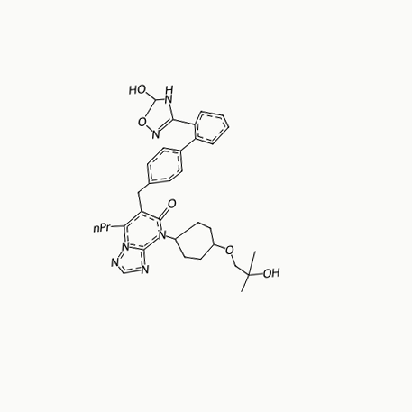 CCCc1c(Cc2ccc(-c3ccccc3C3=NOC(O)N3)cc2)c(=O)n(C2CCC(OCC(C)(C)O)CC2)c2ncnn12